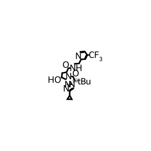 CC(C)(C)[C@@H](C(=O)N1CC(O)CC1C(=O)NCCc1cc(C(F)(F)F)ccn1)n1cc(C2CC2)nn1